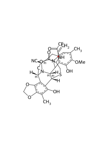 C=CCN1C2c3c(cc(C)c(OC)c3O)CC1[C@H](C#N)N1[C@H]2[C@@H]2SCC(NC(=O)C(F)(F)F)C(=O)OC[C@H]1c1c3c(c(C)c(O)c12)OCO3